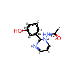 CC(=O)NN1C=CC=NC1c1cccc(O)c1